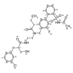 CCCC(=O)N(CCNC(=O)C(CS)Cc1cccc(Cl)c1)Cc1ccc(-c2ccccc2S(=O)(=O)NC(C)=O)cc1F